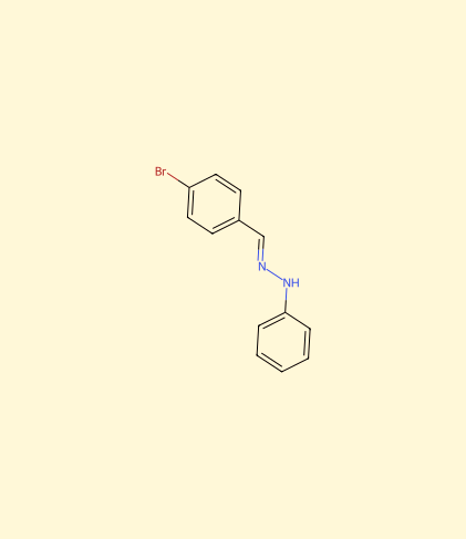 Brc1ccc(C=NNc2ccccc2)cc1